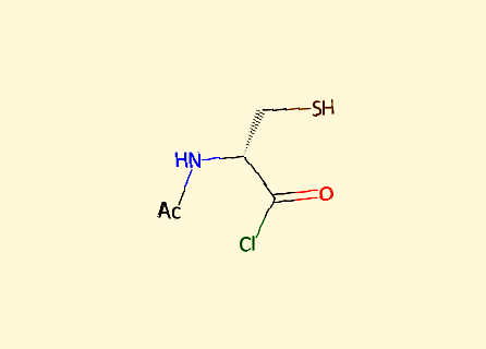 CC(=O)N[C@H](CS)C(=O)Cl